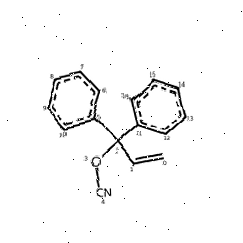 C=CC(OC#N)(c1ccccc1)c1ccccc1